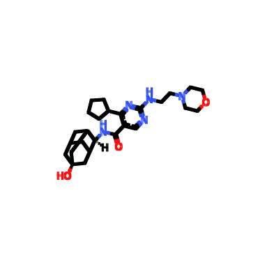 O=C(N[C@H]1C2CC3CC1C[C@@](O)(C3)C2)c1cnc(NCCN2CCOCC2)nc1C1CCCC1